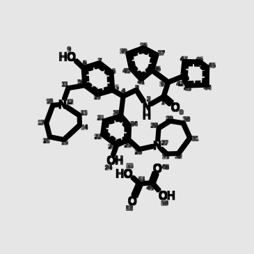 O=C(NCC(c1ccc(O)c(CN2CCCCCC2)c1)c1ccc(O)c(CN2CCCCCC2)c1)C(c1ccccc1)c1ccccc1.O=C(O)C(=O)O